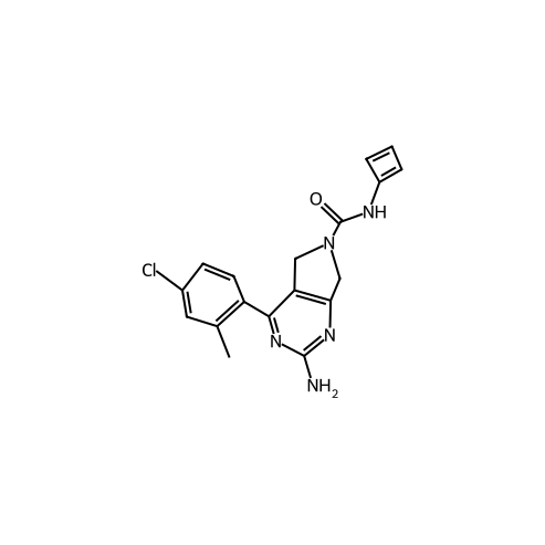 Cc1cc(Cl)ccc1-c1nc(N)nc2c1CN(C(=O)NC1=CC=C1)C2